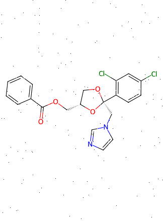 O=C(OC[C@@H]1CO[C@@](Cn2ccnc2)(c2ccc(Cl)cc2Cl)O1)c1ccccc1